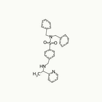 CC(NCc1ccc(S(=O)(=O)N(Cc2ccccc2)Cc2ccccc2)cc1)c1ccccn1